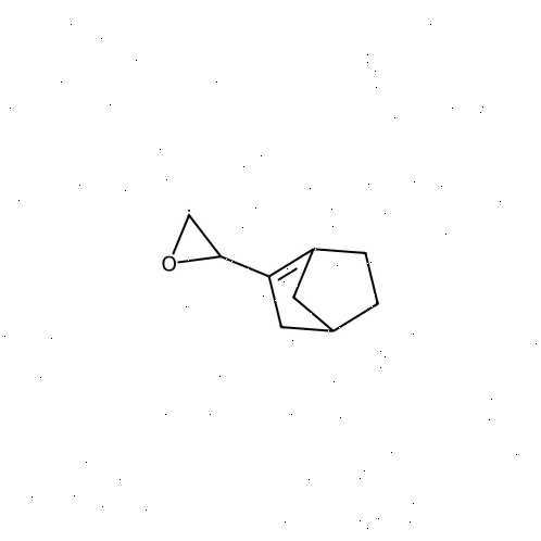 [CH]1OC1C1=C2CCC(C2)C1